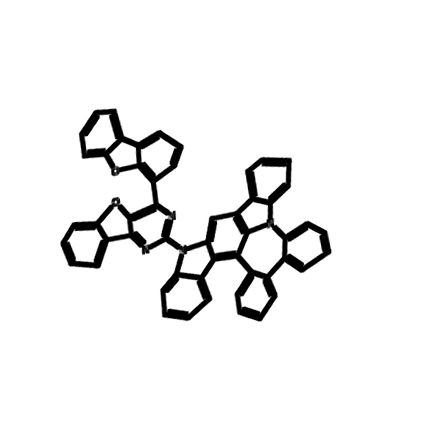 c1ccc2c(c1)-c1ccccc1-n1c3ccccc3c3cc4c(c-2c31)c1ccccc1n4-c1nc(-c2cccc3c2oc2ccccc23)c2oc3ccccc3c2n1